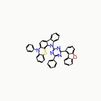 c1ccc(-c2nc(-c3cccc4oc5ccccc5c34)nc(-n3c4ccccc4c4ccc5c(c43)Sc3ccccc3N5c3ccccc3)n2)cc1